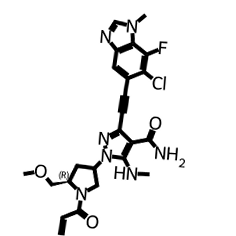 C=CC(=O)N1CC(n2nc(C#Cc3cc4ncn(C)c4c(F)c3Cl)c(C(N)=O)c2NC)C[C@@H]1COC